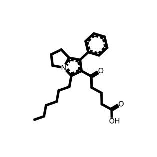 CCCCCCc1c(C(=O)CCCC(=O)O)c(-c2ccccc2)c2n1CCC2